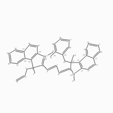 C=CCC1(C)C(/C=C/C=C2/N(C)c3ccc4ccccc4c3C2(C)Cc2ccccc2C)=[N+](C)c2ccc3ccccc3c21